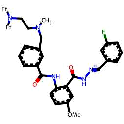 CCN(CC)CCN(C)Cc1cccc(C(=O)Nc2ccc(OC)cc2C(=O)N/N=C/c2cccc(F)c2)c1